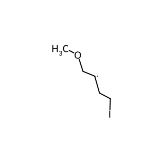 COC[CH]CCI